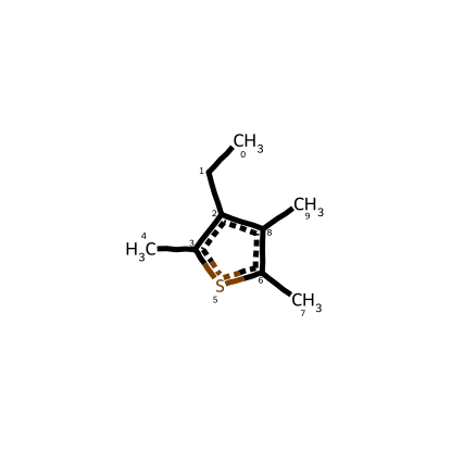 CCc1c(C)sc(C)c1C